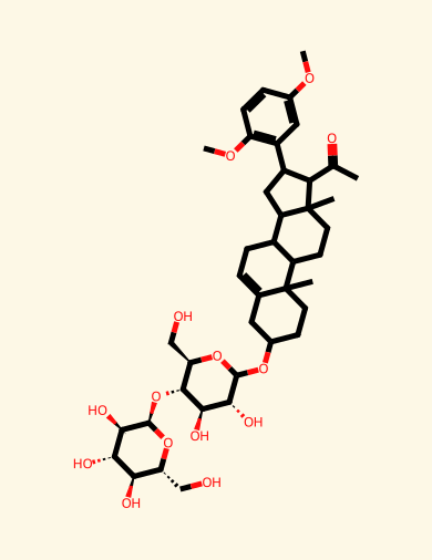 COc1ccc(OC)c(C2CC3C4CC=C5CC(OC6O[C@H](CO)[C@@H](O[C@H]7O[C@H](CO)[C@@H](O)[C@H](O)[C@H]7O)[C@H](O)[C@H]6O)CCC5(C)C4CCC3(C)C2C(C)=O)c1